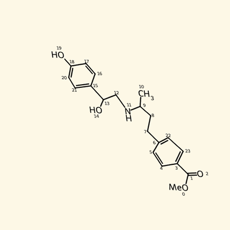 COC(=O)c1ccc(CCC(C)NCC(O)c2ccc(O)cc2)cc1